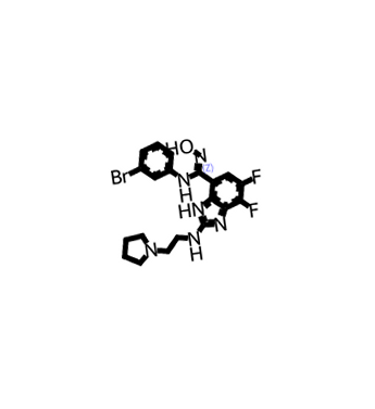 O/N=C(\Nc1cccc(Br)c1)c1cc(F)c(F)c2nc(NCCN3CCCC3)[nH]c12